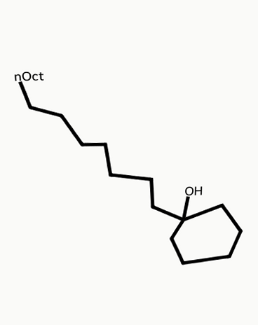 CCCCCCCCCCCCCCCC1(O)CCCCC1